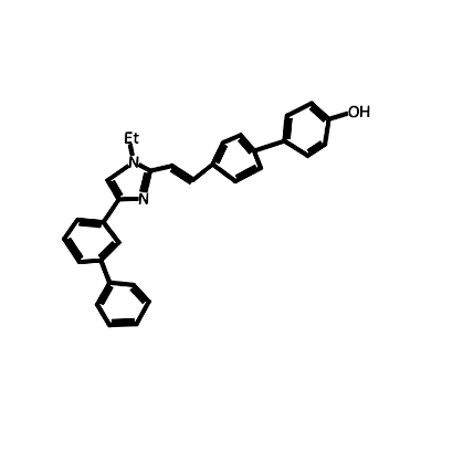 CCn1cc(-c2cccc(-c3ccccc3)c2)nc1C=Cc1ccc(-c2ccc(O)cc2)cc1